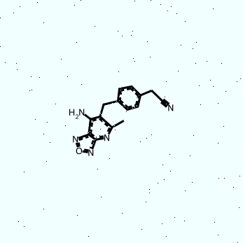 Cc1nc2nonc2c(N)c1Cc1ccc(CC#N)cc1